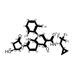 O=C(N[C@@H](C1CC1)C(F)(F)F)c1cn(-c2c(F)cccc2F)c2nc(N3C[C@@H](O)CC3=O)ccc2c1=O